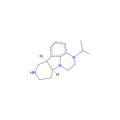 CC(C)N1CCN2c3c(cccc31)[C@@H]1CNCC[C@@H]12